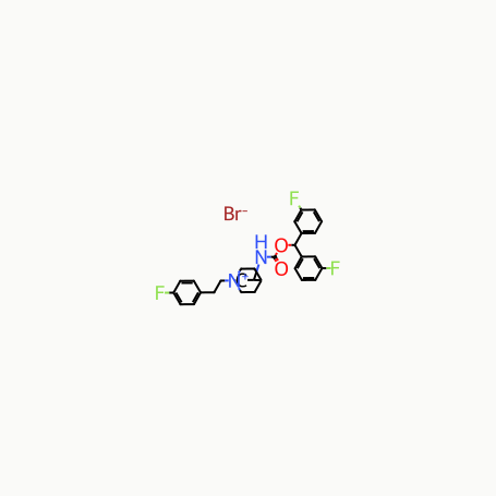 O=C(NC1C[N+]2(CCc3ccc(F)cc3)CCC1CC2)OC(c1cccc(F)c1)c1cccc(F)c1.[Br-]